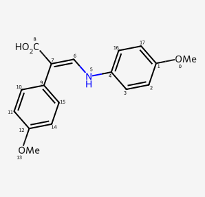 COc1ccc(NC=C(C(=O)O)c2ccc(OC)cc2)cc1